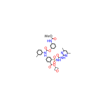 COC(=O)Nc1cccc(OC(=O)Nc2cccc(C)c2)c1.Cc1cc(C)nc(NC(=O)NS(=O)(=O)c2ccccc2C(=O)OC2COC2)n1